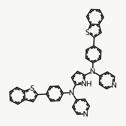 c1ccc2sc(-c3ccc(N(c4ccncc4)c4ccc(N(c5ccncc5)c5ccc(-c6cc7ccccc7s6)cc5)[nH]4)cc3)cc2c1